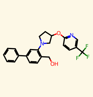 OCc1ccc(-c2ccccc2)cc1N1CCC(Oc2ccc(C(F)(F)F)cn2)C1